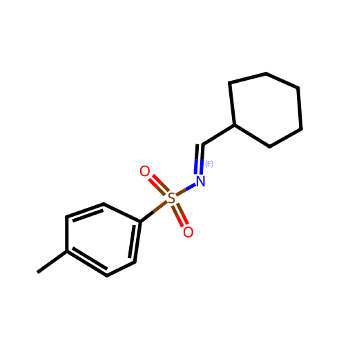 Cc1ccc(S(=O)(=O)/N=C/C2CCCCC2)cc1